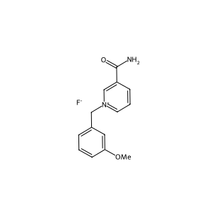 COc1cccc(C[n+]2cccc(C(N)=O)c2)c1.[F-]